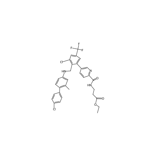 CCOC(=O)CCNC(=O)c1ccc(-c2cc(C(F)(F)F)cc(Cl)c2CNc2ccc(-c3ccc(Cl)cc3)c(C)c2)cn1